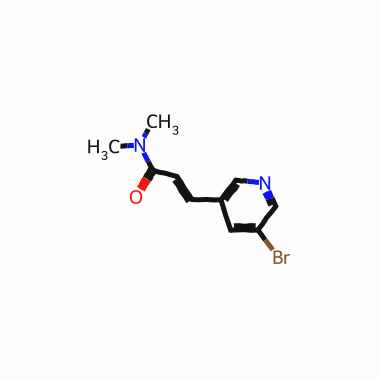 CN(C)C(=O)C=Cc1cncc(Br)c1